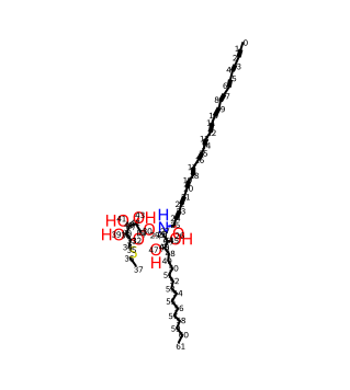 CC#CC#CC#CC#CC#CC#CC#CC#CC#CC#CC#CC#CC(=O)N[C@@H](CO[C@H]1OC(CSCC)[C@H](O)[C@H](O)C1O)[C@H](O)[C@H](O)CCCCCCCCCCCCCC